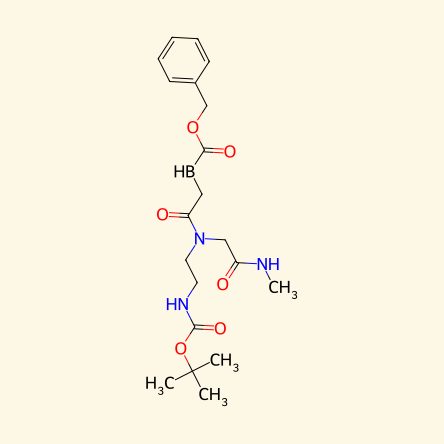 CNC(=O)CN(CCNC(=O)OC(C)(C)C)C(=O)CBC(=O)OCc1ccccc1